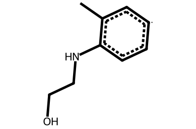 Cc1c[c]ccc1NCCO